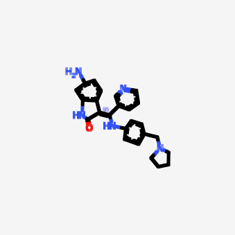 Nc1ccc2c(c1)NC(=O)/C2=C(\Nc1ccc(CN2CCCC2)cc1)c1cccnc1